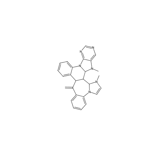 C=C1c2ccccc2N2C=CN(C)C2C2C1c1ccccc1N1c3ncncc3N(C)C21